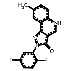 Cc1ccc2[nH]cc3c(=O)n(-c4cc(F)ccc4F)nc-3c2c1